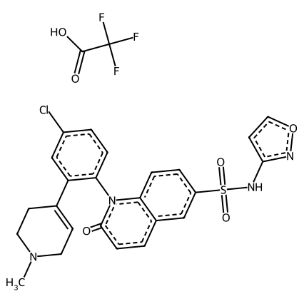 CN1CC=C(c2cc(Cl)ccc2-n2c(=O)ccc3cc(S(=O)(=O)Nc4ccon4)ccc32)CC1.O=C(O)C(F)(F)F